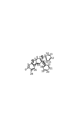 Cc1cc2sc3cc(Sc4ccccc4)c(Sc4ccccc4)cc3c2cc1C